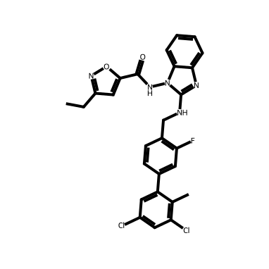 CCc1cc(C(=O)Nn2c(NCc3ccc(-c4cc(Cl)cc(Cl)c4C)cc3F)nc3ccccc32)on1